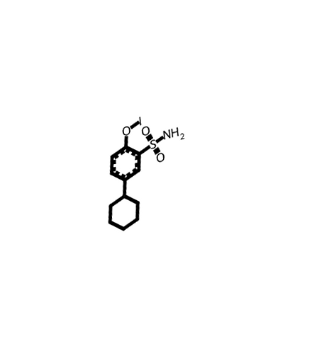 NS(=O)(=O)c1cc(C2CCCCC2)ccc1OI